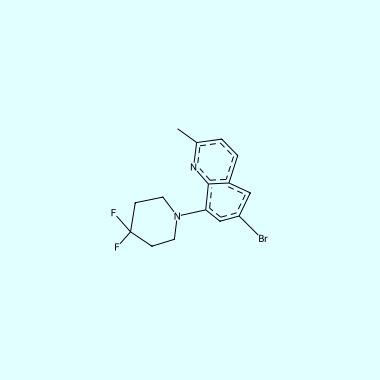 Cc1ccc2cc(Br)cc(N3CCC(F)(F)CC3)c2n1